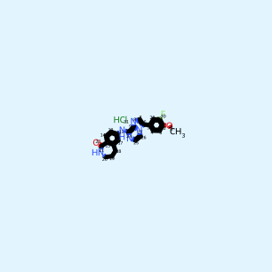 COc1ccc(-c2cnc3c(Nc4ccc5c(c4)CCCNC5=O)nccn23)cc1F.Cl